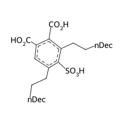 CCCCCCCCCCCCc1cc(C(=O)O)c(C(=O)O)c(CCCCCCCCCCCC)c1S(=O)(=O)O